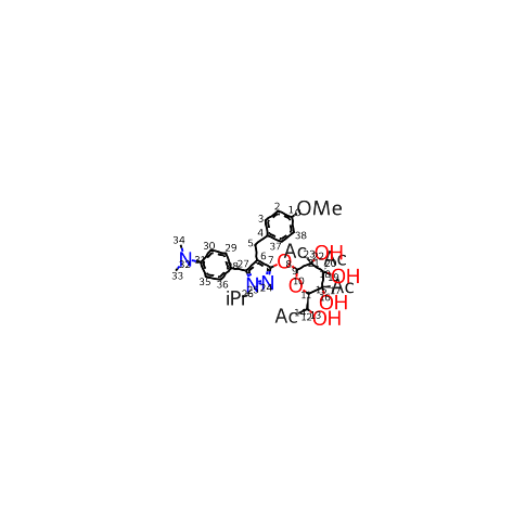 COc1ccc(Cc2c(O[C@@H]3O[C@H](C(O)C(C)=O)[C@](O)(C(C)=O)[C@@](O)(C(C)=O)[C@]3(O)C(C)=O)nn(C(C)C)c2-c2ccc(N(C)C)cc2)cc1